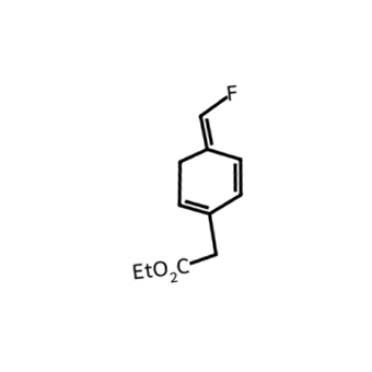 CCOC(=O)CC1=CCC(=CF)C=C1